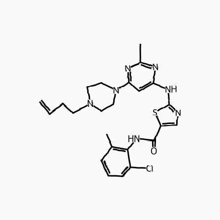 C=CCCN1CCN(c2cc(Nc3ncc(C(=O)Nc4c(C)cccc4Cl)s3)nc(C)n2)CC1